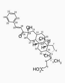 C[C@H](CCC(=O)O)[C@H]1CC[C@H]2[C@@H]3CCC4C[C@@](O)(C(=O)C=Cc5ccccc5)CC[C@]4(C)[C@H]3CC[C@]12C